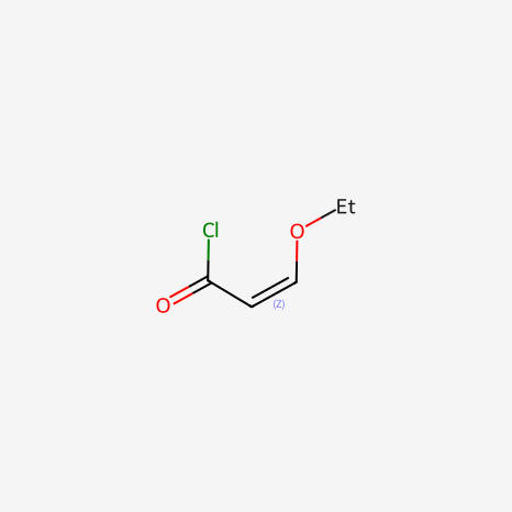 CCO/C=C\C(=O)Cl